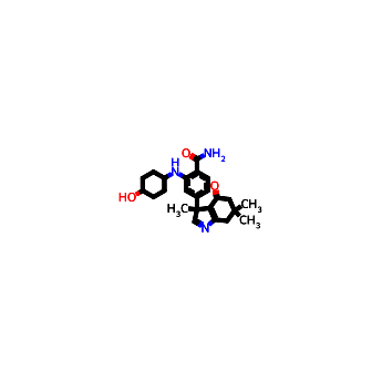 CC1(C)CC(=O)C2=C(C1)N=CC2(C)c1ccc(C(N)=O)c(NC2CCC(O)CC2)c1